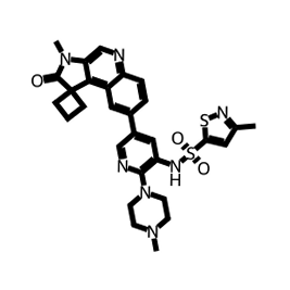 Cc1cc(S(=O)(=O)Nc2cc(-c3ccc4ncc5c(c4c3)C3(CCC3)C(=O)N5C)cnc2N2CCN(C)CC2)sn1